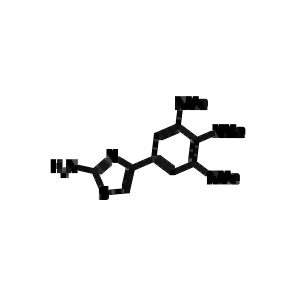 CNc1cc(-c2csc(N)n2)cc(NC)c1NC